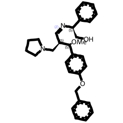 CO[C@H](c1ccc(OCc2ccccc2)cc1)[C@H](/C=N\[C@H](CO)c1ccccc1)CN1CCCC1